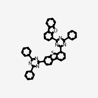 c1ccc(-c2nc(-c3ccccc3)nc(-c3ccc4c(c3)sc3c(-c5nc(-c6ccccc6)nc(-c6cccc7c6oc6ccccc67)n5)cccc34)n2)cc1